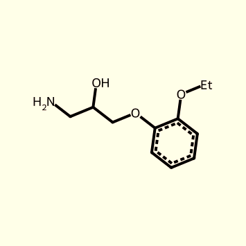 CCOc1ccccc1OCC(O)CN